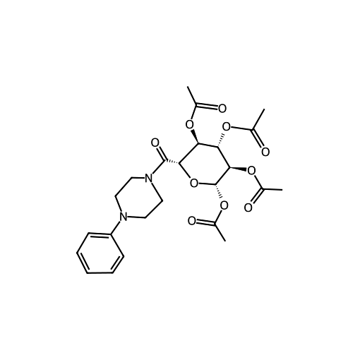 CC(=O)O[C@@H]1O[C@H](C(=O)N2CCN(c3ccccc3)CC2)[C@@H](OC(C)=O)[C@H](OC(C)=O)[C@H]1OC(C)=O